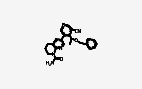 CC(OCc1ccccc1)c1c(C#N)cncc1-c1cnc2c(c1)CCCN2C(N)=O